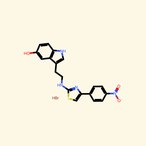 Br.O=[N+]([O-])c1ccc(-c2csc(NCCc3c[nH]c4ccc(O)cc34)n2)cc1